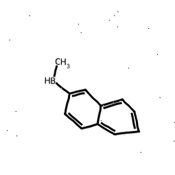 CBc1ccc2ccccc2c1